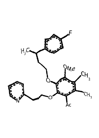 COc1c(C)c(C)c(C(C)=O)c(OCCc2ccccn2)c1OCCC(C)c1ccc(F)cc1